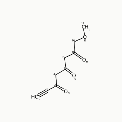 C#CC(=O)CC(=O)CC(=O)COC